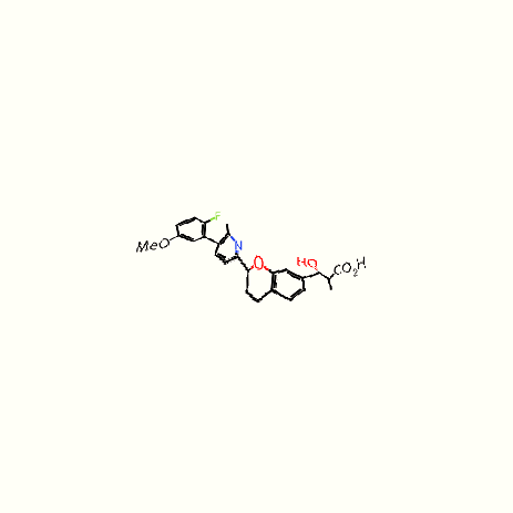 COc1ccc(F)c(-c2ccc(C3CCc4ccc([C@H](O)[C@H](C)C(=O)O)cc4O3)nc2C)c1